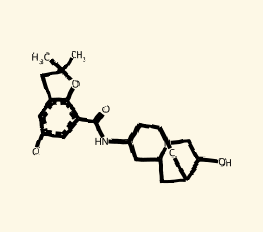 CC1(C)Cc2cc(Cl)cc(C(=O)NC3CC4CC5CC(C3)N4CC5O)c2O1